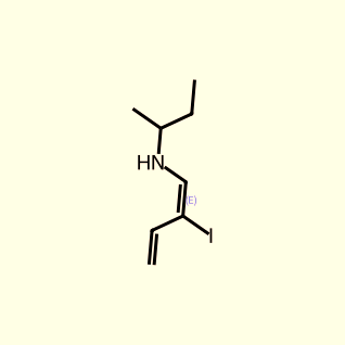 C=C/C(I)=C\NC(C)CC